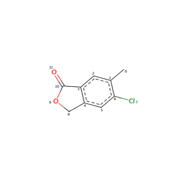 Cc1cc2c(cc1Cl)COC2=O